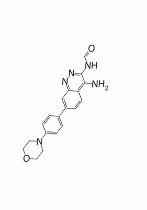 Nc1c(NC=O)nnc2cc(-c3ccc(N4CCOCC4)cc3)ccc12